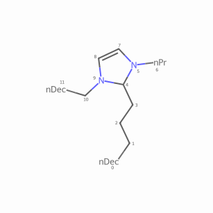 CCCCCCCCCCCCCC1N(CCC)C=CN1CCCCCCCCCCC